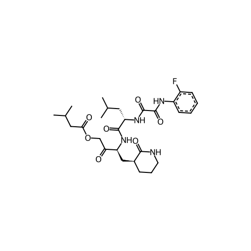 CC(C)CC(=O)OCC(=O)[C@H](C[C@@H]1CCCNC1=O)NC(=O)[C@H](CC(C)C)NC(=O)C(=O)Nc1ccccc1F